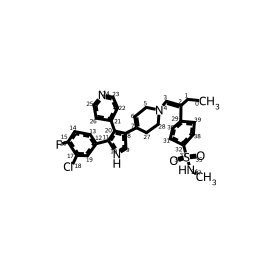 CCC(=CN1CC=C(c2c[nH]c(-c3ccc(F)c(Cl)c3)c2-c2ccncc2)CC1)c1ccc(S(=O)(=O)NC)cc1